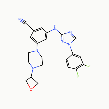 N#Cc1cc(Nc2ncn(-c3ccc(F)c(F)c3)n2)cc(N2CCN(C3COC3)CC2)c1